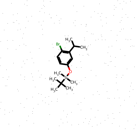 CC(C)c1cc(O[Si](C)(C)C(C)(C)C)ccc1Br